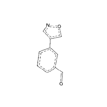 O=Cc1cccc(-c2cnoc2)c1